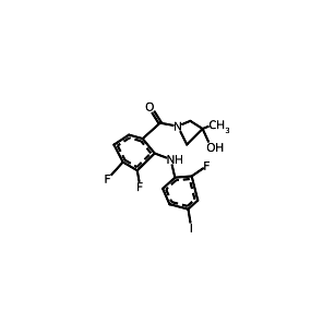 CC1(O)CN(C(=O)c2ccc(F)c(F)c2Nc2ccc(I)cc2F)C1